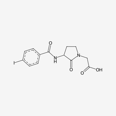 O=C(O)CN1CCC(NC(=O)c2ccc(I)cc2)C1=O